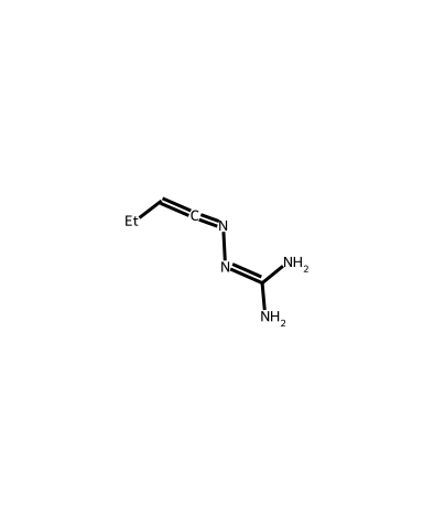 CCC=C=NN=C(N)N